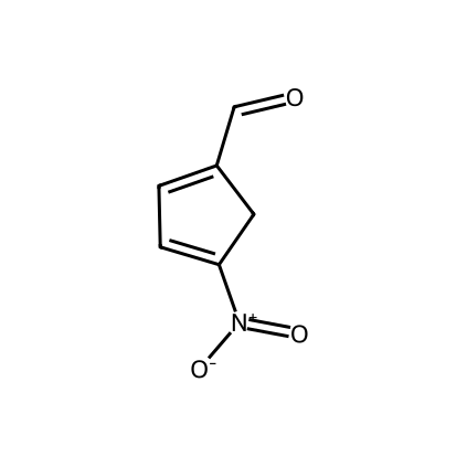 O=CC1=CC=C([N+](=O)[O-])C1